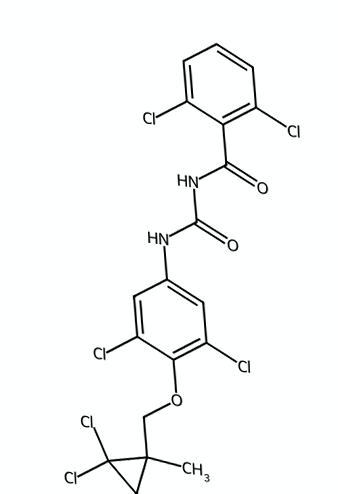 CC1(COc2c(Cl)cc(NC(=O)NC(=O)c3c(Cl)cccc3Cl)cc2Cl)CC1(Cl)Cl